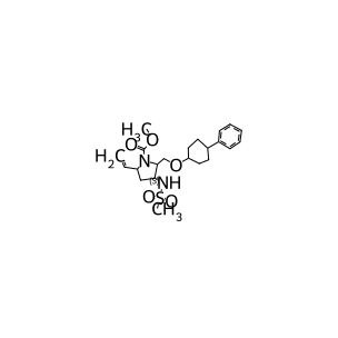 C=CC1C[C@H](NS(C)(=O)=O)C(COC2CCC(c3ccccc3)CC2)N1C(=O)OC